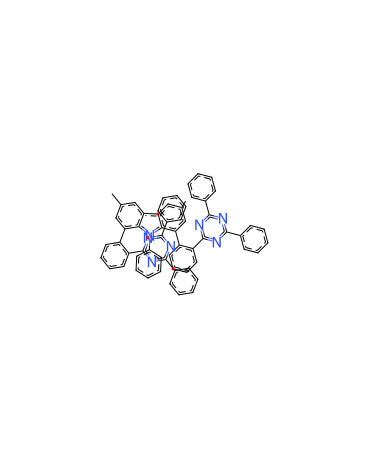 Cc1cc(-c2ccccc2-c2nc(-c3ccccc3)nc(-c3ccccc3)n2)c2c(c1)c1cc(C)cc(-c3ccccc3-c3nc(-c4ccccc4)nc(-c4ccccc4)n3)c1n2-c1ccccc1